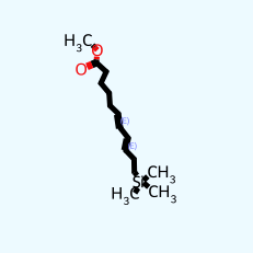 COC(=O)CCCC/C=C/C=C/CC[Si](C)(C)C